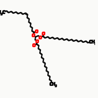 CCCCCCCCC/C=C\CCCCCCCC(=O)OC(COC(=O)CCCCCCCCCCCCCCCCCC)COC(=O)CCCCCCCCCCCCCCCCCCCC